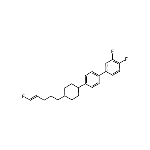 F/C=C/CCCC1CCC(c2ccc(-c3ccc(F)c(F)c3)cc2)CC1